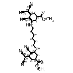 COC(=S)C1CC(NCCCCCCNC2=C(C#N)C(=C(C#N)C#N)CC(C(=S)OC)C2)=C(C#N)C(=C(C#N)C#N)C1